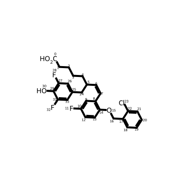 O=C(O)CCCCC(/C=C\c1cc(F)ccc1OCc1ccccc1Cl)Cc1cc(F)c(O)c(F)c1